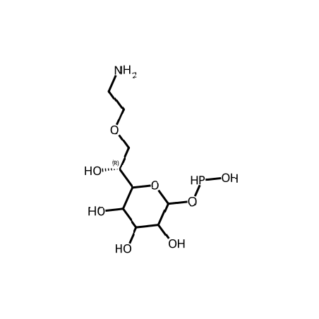 NCCOC[C@@H](O)C1OC(OPO)C(O)C(O)C1O